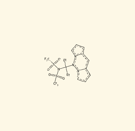 CCC(CC)(N(S(=O)(=O)C(F)(F)F)S(=O)(=O)C(F)(F)F)n1n2cccc2cc2ccc[n+]1-2